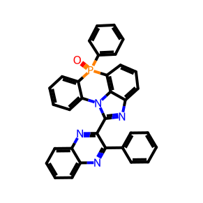 O=P1(c2ccccc2)c2ccccc2-n2c(-c3nc4ccccc4nc3-c3ccccc3)nc3cccc1c32